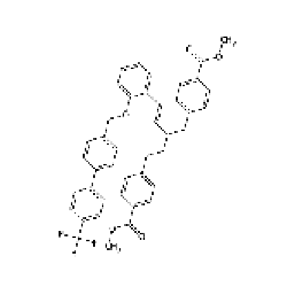 COC(=O)c1ccc(CCC(/C=C/c2ccccc2OCc2ccc(-c3ccc(C(F)(F)F)cc3)cc2)Cc2ccc(C(=O)OC)cc2)cc1